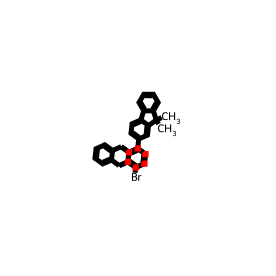 CC1(C)c2ccccc2-c2ccc(-c3ccc(Br)c4c3C3c5ccccc5C4c4ccccc43)cc21